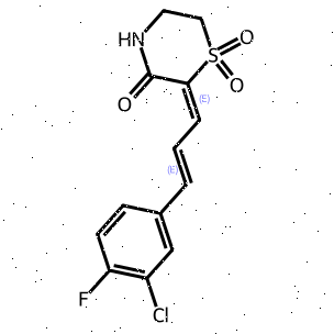 O=C1NCCS(=O)(=O)/C1=C/C=C/c1ccc(F)c(Cl)c1